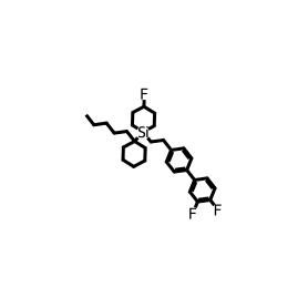 CCCCCC1([Si]2(CCc3ccc(-c4ccc(F)c(F)c4)cc3)CCC(F)CC2)CCCCC1